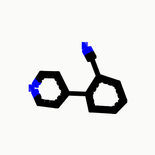 N#Cc1ccccc1-c1ccncc1